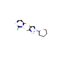 Clc1nccc(Oc2cn(C3CCCCO3)nc2Br)n1